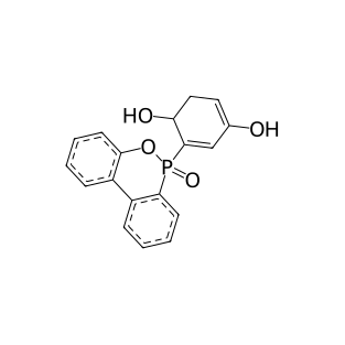 O=P1(C2=CC(O)=CCC2O)Oc2ccccc2-c2ccccc21